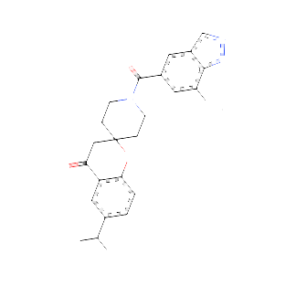 Cc1cc(C(=O)N2CCC3(CC2)CC(=O)c2cc(C(C)C)ccc2O3)cc2cn[nH]c12